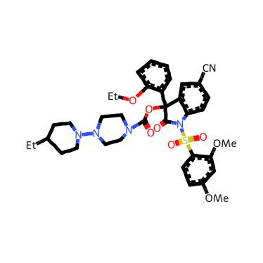 CCOc1ccccc1C1(OC(=O)N2CCN(N3CCC(CC)CC3)CC2)C(=O)N(S(=O)(=O)c2ccc(OC)cc2OC)c2ccc(C#N)cc21